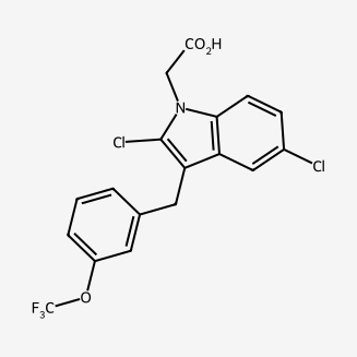 O=C(O)Cn1c(Cl)c(Cc2cccc(OC(F)(F)F)c2)c2cc(Cl)ccc21